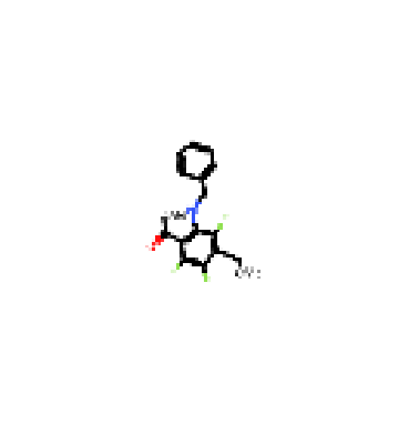 COCc1c(F)c(F)c(C(=O)OC)c(NCc2ccccc2)c1F